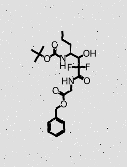 CCC[C@H](NC(=O)OC(C)(C)C)C(O)C(F)(F)C(=O)NCC(=O)OCc1ccccc1